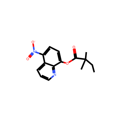 CCC(C)(C)C(=O)Oc1ccc([N+](=O)[O-])c2cccnc12